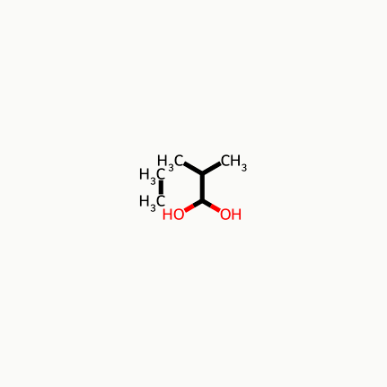 CC.CC(C)C(O)O